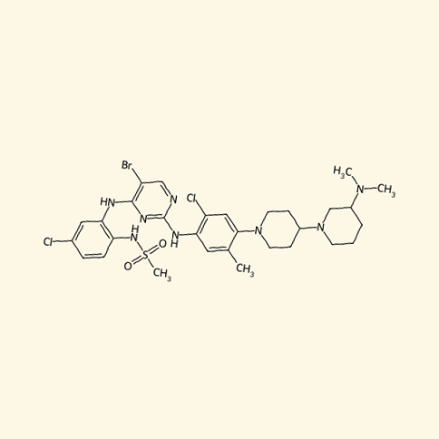 Cc1cc(Nc2ncc(Br)c(Nc3cc(Cl)ccc3NS(C)(=O)=O)n2)c(Cl)cc1N1CCC(N2CCCC(N(C)C)C2)CC1